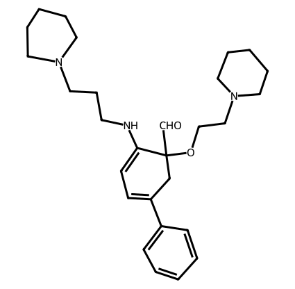 O=CC1(OCCN2CCCCC2)CC(c2ccccc2)=CC=C1NCCCN1CCCCC1